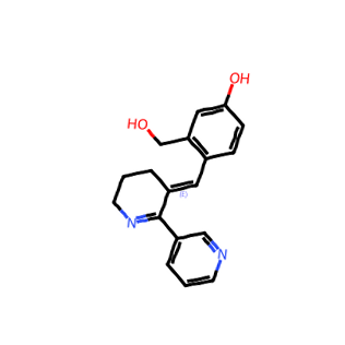 OCc1cc(O)ccc1/C=C1\CCCN=C1c1cccnc1